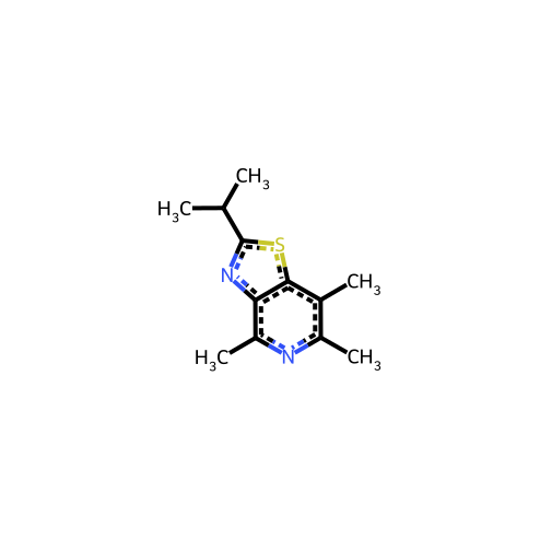 Cc1nc(C)c2nc(C(C)C)sc2c1C